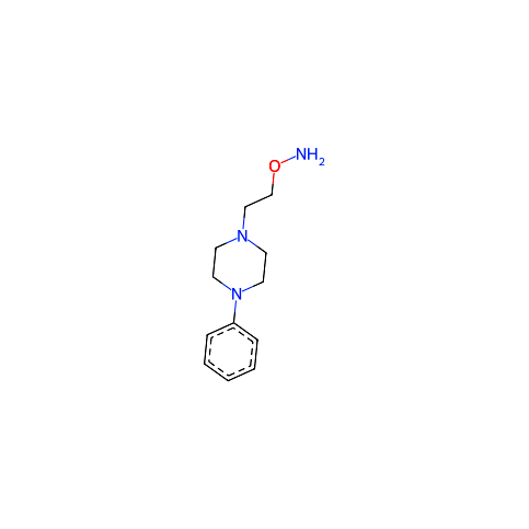 NOCCN1CCN(c2ccccc2)CC1